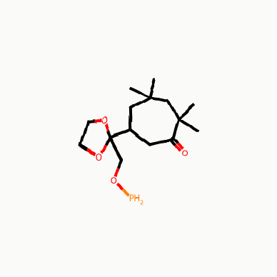 CC1(C)CC(C2(COP)OCCO2)CC(=O)C(C)(C)C1